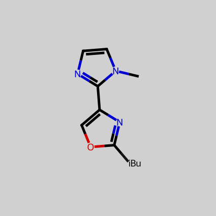 CCC(C)c1nc(-c2nccn2C)co1